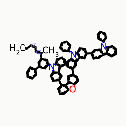 C=C/C=C\C=C(/C)c1cc(-c2ccccc2)cc(-n2c3ccccc3c3cc(-c4cccc5oc6ccc(-c7ccc8c(c7)c7cc(-c9ccc%10c%11ccccc%11n(-c%11ccccc%11)c%10c9)ccc7n8-c7ccccc7)cc6c45)ccc32)c1